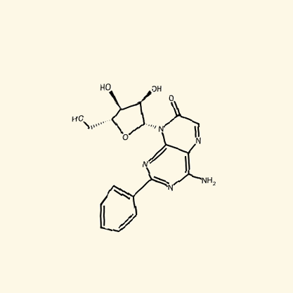 Nc1nc(-c2ccccc2)nc2c1ncc(=O)n2[C@@H]1O[C@H](CO)[C@@H](O)[C@H]1O